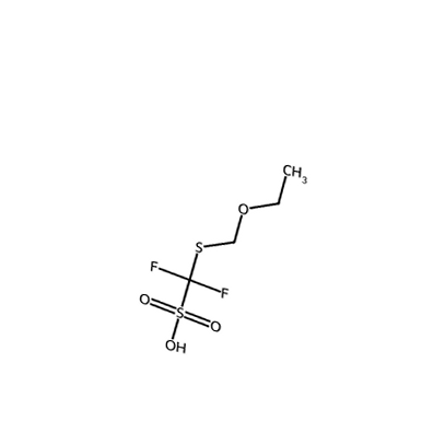 CCOCSC(F)(F)S(=O)(=O)O